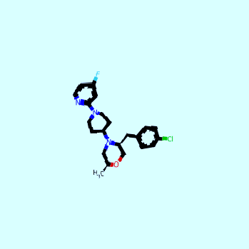 C[C@H]1CN(C2CCN(c3cc(F)ccn3)CC2)[C@@H](Cc2ccc(Cl)cc2)CO1